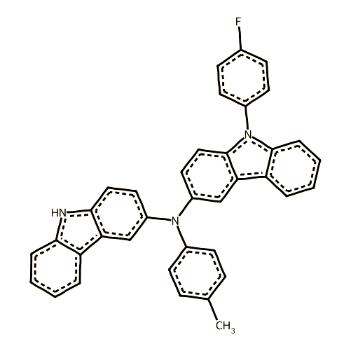 Cc1ccc(N(c2ccc3[nH]c4ccccc4c3c2)c2ccc3c(c2)c2ccccc2n3-c2ccc(F)cc2)cc1